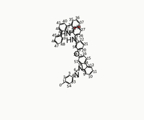 Cc1ccc(/N=C/n2c3ccccc3c3ccc(Oc4cccc(Nc5ccccc5Nc5c(-c6ccccc6)cccc5-c5ccccc5)c4)cc32)cc1